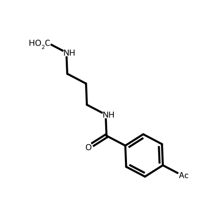 CC(=O)c1ccc(C(=O)NCCCNC(=O)O)cc1